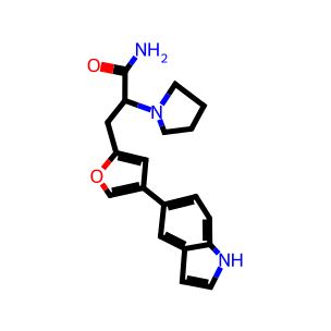 NC(=O)C(Cc1cc(-c2ccc3[nH]ccc3c2)co1)N1CCCC1